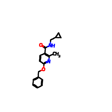 Cc1nc(OCc2ccccc2)ccc1C(=O)NCC1CC1